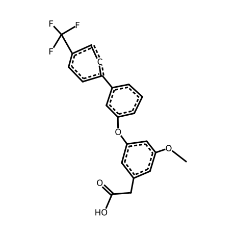 COc1cc(CC(=O)O)cc(Oc2cccc(-c3ccc(C(F)(F)F)cc3)c2)c1